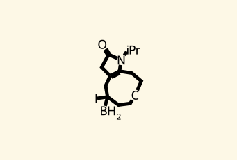 BC1(I)CCCCCC2=C(CC(=O)N2C(C)C)C1